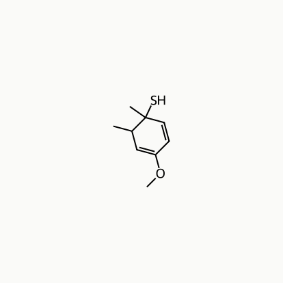 COC1=CC(C)C(C)(S)C=C1